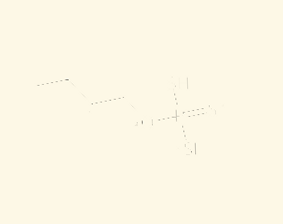 CCCCOP(=S)(S)S